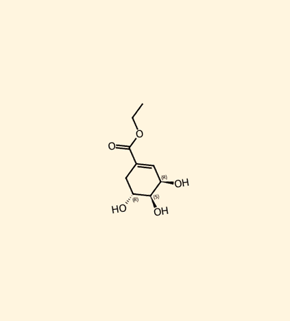 CCOC(=O)C1=C[C@@H](O)[C@@H](O)[C@H](O)C1